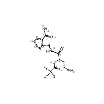 NCCC(OC(=O)C(F)(F)F)C(=O)NCc1ccccc1C(N)=O